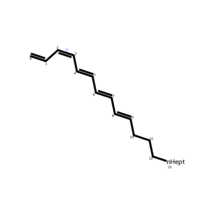 C=C/C=C\C=CC=CC=CCCCCCC[CH]CCC